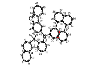 CC1(C)c2ccc3ccccc3c2-c2cccc(N(c3cccc(-c4cccc5cccc(-c6ccccc6)c45)c3)c3ccc4oc5ccccc5c4c3)c21